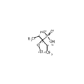 [CH2]COC(CC(F)(F)F)(CC(F)(F)F)P(=O)(O)O